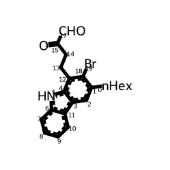 CCCCCCc1cc2c([nH]c3ccccc32)c(CCC(=O)C=O)c1Br